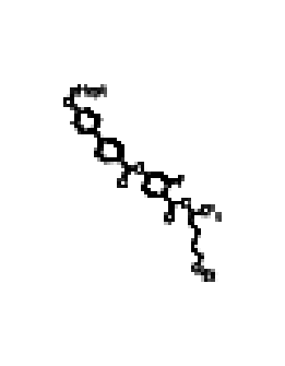 CCCCCCCOc1ccc(-c2ccc(C(=O)Oc3ccc(C(=O)OC(CCCCOCC)C(F)(F)F)c(F)c3)cc2)cc1